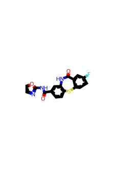 O=C(Nc1ncco1)c1ccc2c(c1)NC(=O)c1cc(F)ccc1S2